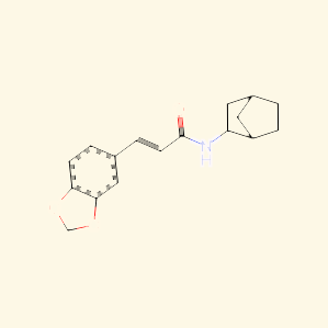 O=C(C=Cc1ccc2c(c1)OCO2)NC1CC2CCC1C2